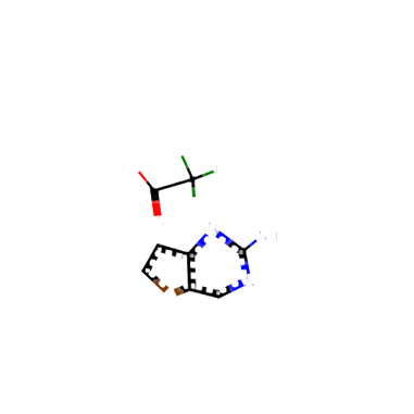 Nc1ncc2sccc2n1.O=C(O)C(F)(F)F